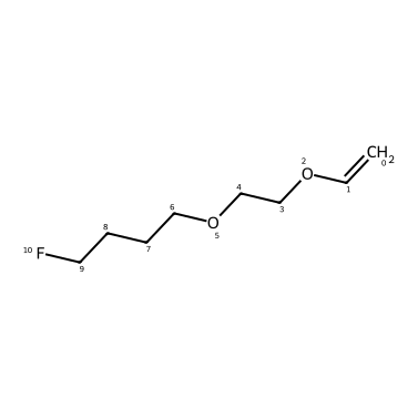 C=COCCOCCCCF